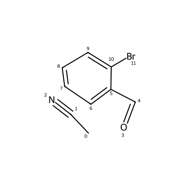 CC#N.O=Cc1ccccc1Br